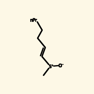 CCCCCC=C[S+](C)[O-]